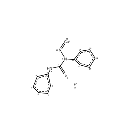 S=C(Nc1ccccc1)N([N]=[Ga+])c1ccccc1.[F-]